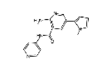 Cn1cccc1-c1cnc(N)c(C(=O)Nc2ccncc2)c1